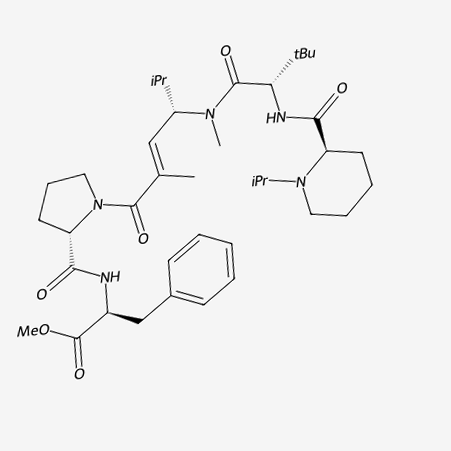 COC(=O)[C@H](Cc1ccccc1)NC(=O)[C@@H]1CCCN1C(=O)/C(C)=C/[C@H](C(C)C)N(C)C(=O)[C@@H](NC(=O)[C@H]1CCCCN1C(C)C)C(C)(C)C